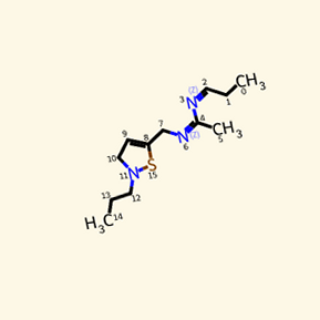 CC/C=N\C(C)=N/CC1=CCN(CCC)S1